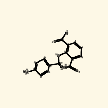 CCC(=O)c1cccc(C(=O)OC)c1OC(=O)c1ccc(C)cc1